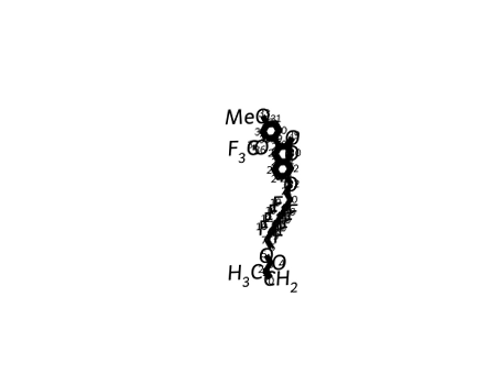 C=C(C)C(=O)OCCC(F)(F)C(F)(F)C(F)(F)C(F)(F)CCOc1ccc2cc(-c3ccc(OC)cc3OC(F)(F)F)c(=O)oc2c1